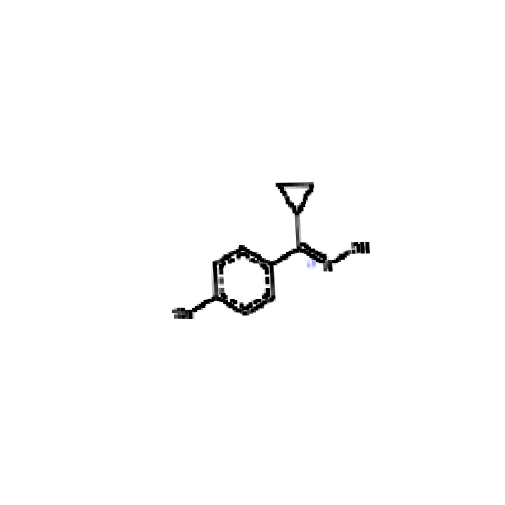 CC(C)(C)c1ccc(/C(=N/O)C2CC2)cc1